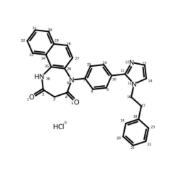 Cl.O=C1CC(=O)N(c2ccc(-c3nccn3CCc3ccccc3)cc2)c2ccc3ccccc3c2N1